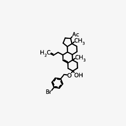 C=CCC1C=C2CC(O)(OCc3ccc(Br)cc3)CCC2(C)C2CCC3(C)C(C(C)=O)CCC3C12